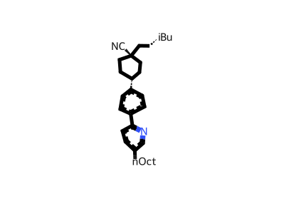 CCCCCCCCc1ccc(-c2ccc([C@H]3CC[C@@](C#N)(CC[C@@H](C)CC)CC3)cc2)nc1